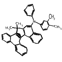 Cc1ccc(N(c2ccccc2)c2cc3c(c4ccccc24)-c2c(c4ccccc4c4ccccc24)C3(C)C)cc1C